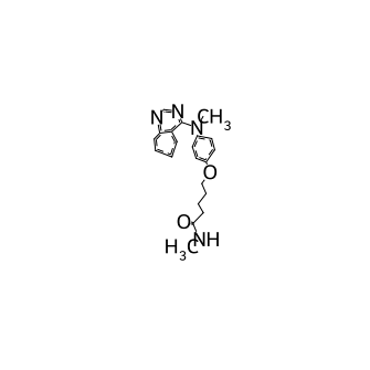 CNC(=O)CCCCOc1ccc(N(C)c2ncnc3ccccc23)cc1